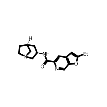 CCc1cc2cc(C(=O)N[C@@H]3C[C@@H]4CCN(C4)C3)ncc2o1